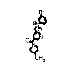 CC1CCN(C(=O)c2cncc(CS(=O)(=O)c3cccc(Br)c3)c2)CC1